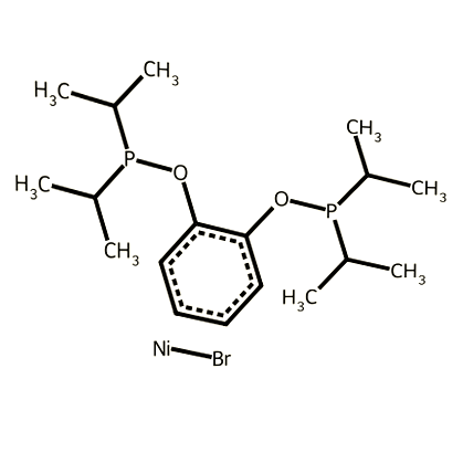 CC(C)P(Oc1ccccc1OP(C(C)C)C(C)C)C(C)C.[Ni][Br]